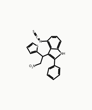 O=[N+]([O-])CC(c1cccs1)c1c(-c2ccccc2)[nH]c2cccc(N=C=S)c12